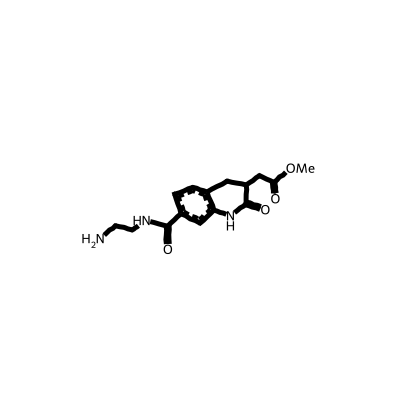 COC(=O)CC1Cc2ccc(C(=O)NCCN)cc2NC1=O